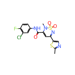 Cc1ncc(C2=NS(=O)(=O)N(C)C(C(=O)Nc3ccc(F)c(Cl)c3)=C2)s1